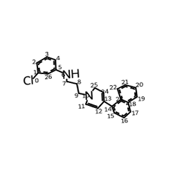 Clc1cccc(NCCCN2C=CC(c3cccc4ccccc34)=CC2)c1